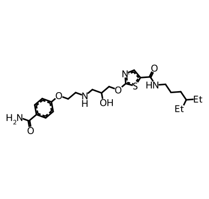 CCC(CC)CCCNC(=O)c1cnc(OCC(O)CNCCOc2ccc(C(N)=O)cc2)s1